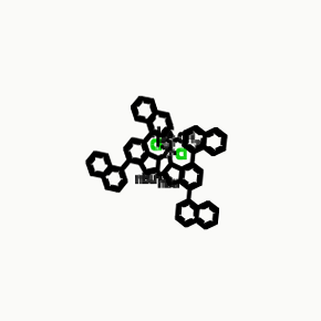 CCCCC1=Cc2c(-c3cccc4ccccc34)ccc(-c3cccc4ccccc34)c2[CH]1[Zr]([Cl])([Cl])([CH]1C(CCCC)=Cc2c(-c3cccc4ccccc34)ccc(-c3cccc4ccccc34)c21)[SiH](C)C